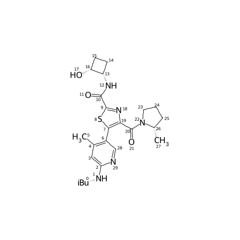 CC[C@@H](C)Nc1cc(C)c(-c2sc(C(=O)N[C@H]3CC[C@H]3O)nc2C(=O)N2CCC[C@@H]2C)cn1